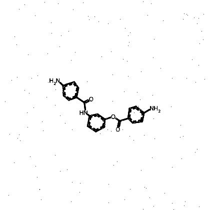 Nc1ccc(C(=O)Nc2cccc(OC(=O)c3ccc(N)cc3)c2)cc1